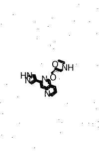 c1cnc2cc(-c3cn[nH]c3)nc(OC[C@@H]3CNCCO3)c2c1